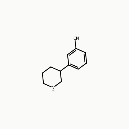 N#Cc1cccc(C2CCCNC2)c1